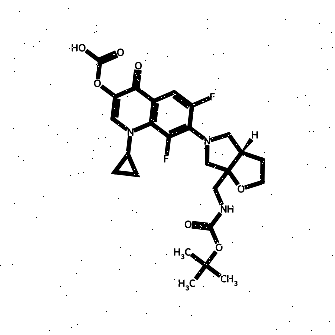 CC(C)(C)OC(=O)NCC12CN(c3c(F)cc4c(=O)c(OC(=O)O)cn(C5CC5)c4c3F)C[C@@H]1CCO2